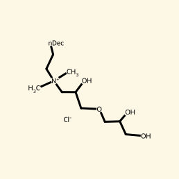 CCCCCCCCCCCC[N+](C)(C)CC(O)COCC(O)CO.[Cl-]